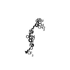 CC(C)(C)OC(=O)N1CC(CCCn2ccc(SNC(=O)c3ccc(-n4ccc(OCCCC5(C(F)(F)F)CC5)n4)nc3Cl)n2)CC1(C)C